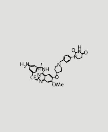 COc1cc2nc(C)nc(N[C@H](C)c3cc(N)cc(C(F)(F)F)c3)c2cc1OC1CCN(Cc2ccc(N3CCC(=O)NC3=O)cc2)CC1